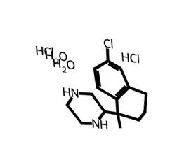 CC1(C2CNCCN2)CCCc2cc(Cl)ccc21.Cl.Cl.O.O